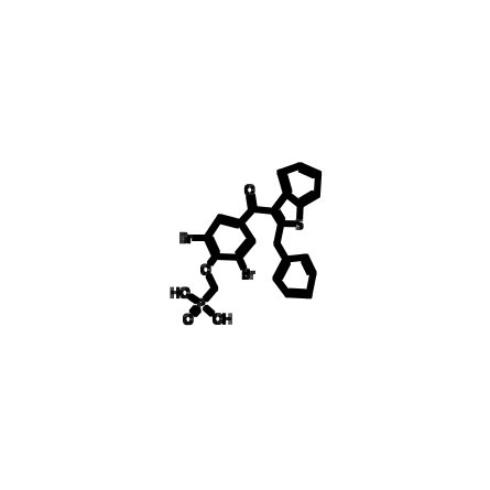 O=C(c1cc(Br)c(OCP(=O)(O)O)c(Br)c1)c1c(Cc2ccccc2)sc2ccccc12